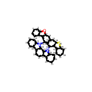 c1ccc2c(c1)oc1cccc(-n3c4ccccc4c4ccc5c6ccccc6n(-c6cccc7sc8ccccc8c67)c5c43)c12